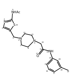 CC(=O)Nc1ncc(CN2CCN(CC(=O)Nc3cccc(C)c3)CC2)s1